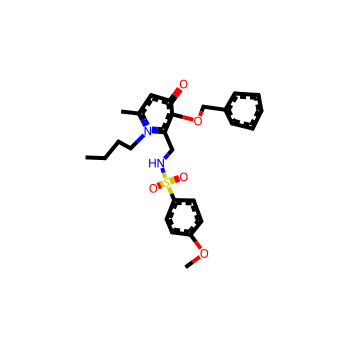 CCCCn1c(C)cc(=O)c(OCc2ccccc2)c1CNS(=O)(=O)c1ccc(OC)cc1